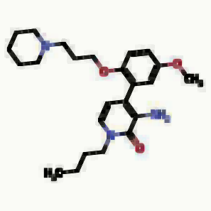 CCCCn1ccc(-c2cc(OC)ccc2OCCCN2CCCCC2)c(N)c1=O